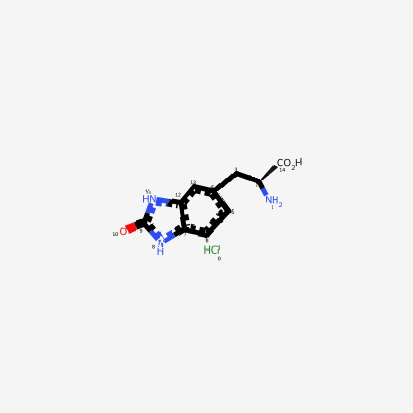 Cl.N[C@@H](Cc1ccc2[nH]c(=O)[nH]c2c1)C(=O)O